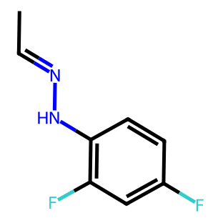 CC=NNc1ccc(F)cc1F